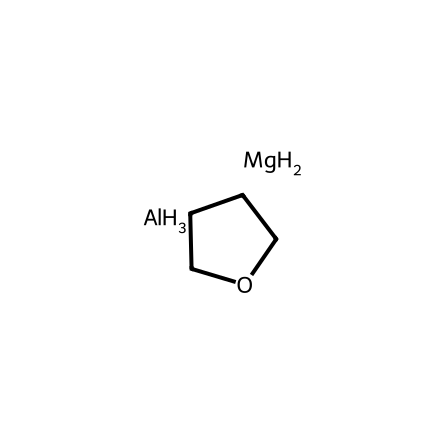 C1CCOC1.[AlH3].[MgH2]